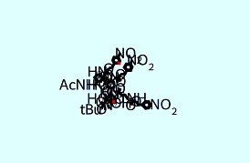 CC(=O)NCC1=CC[C@@H](NC(=O)OCc2ccc([N+](=O)[O-])cc2)[C@@H](O[C@H]2[C@H](O)[C@@H](O[C@H]3OC[C@](C)(O)[C@H](N(C)C(=O)OC(C)(C)C)[C@H]3O)[C@H](NC(=O)[C@@H](O)CCNC(=O)OCc3ccc([N+](=O)[O-])cc3)C[C@@H]2NC(=O)OCc2ccc([N+](=O)[O-])cc2)O1